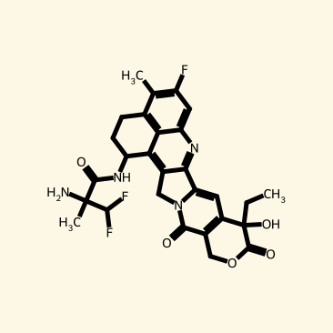 CCC1(O)C(=O)OCc2c1cc1n(c2=O)Cc2c-1nc1cc(F)c(C)c3c1c2C(NC(=O)C(C)(N)C(F)F)CC3